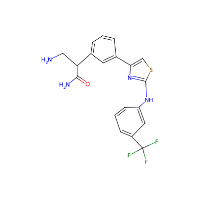 NCC(C(N)=O)c1cccc(-c2csc(Nc3cccc(C(F)(F)F)c3)n2)c1